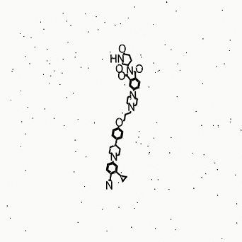 N#Cc1ccc(N2CCC(c3ccc(OCCCN4CCN(c5ccc6c(c5)C(=O)N(C5CCC(=O)NC5=O)C6=O)CC4)cc3)CC2)cc1C1CC1